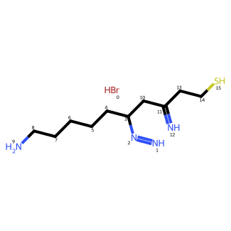 Br.N=NC(CCCCCN)CC(=N)CCS